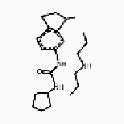 CC1CCc2ccc(NC(=O)NC3CCCC3)cc21.CCCNCCC